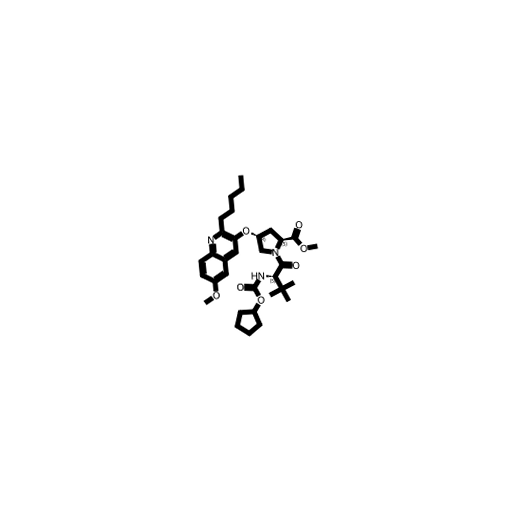 CCCCCc1nc2ccc(OC)cc2cc1O[C@@H]1C[C@@H](C(=O)OC)N(C(=O)[C@@H](NC(=O)OC2CCCC2)C(C)(C)C)C1